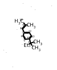 CCC(C)(C)c1ccc(C=C(C)C)cc1